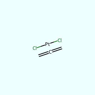 C=C=C.[Cl][Pt][Cl]